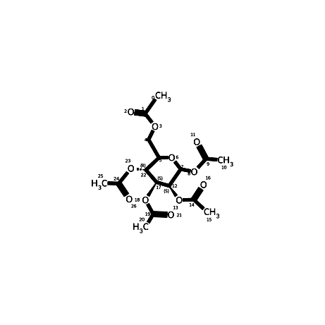 CC(=O)OCC1OC(OC(C)=O)[C@@H](OC(C)=O)[C@@H](OC(C)=O)[C@@H]1OC(C)=O